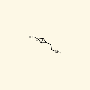 C[C@@H]1C2=C(CCN)C21